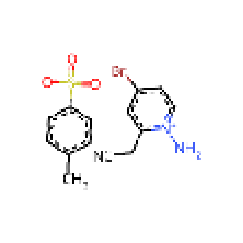 Cc1ccc(S(=O)(=O)[O-])cc1.N#CCc1cc(Br)cc[n+]1N